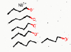 CCCCC.CCCC[O-].CCCC[O-].CCCC[O-].CCCC[O-].CCCC[O-].[Nb+5]